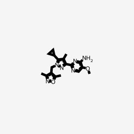 COc1cnc(-c2nn(Cc3c(C)noc3C)c(C3CC3)c2C)nc1N